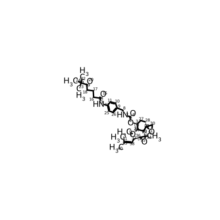 CO[C@H]1[C@@H](OC(=O)NCc2ccc(NC(=O)CCCC(=O)C(C)(C)C)cc2)CC[C@@]2(CO2)[C@@H]1C1(C)O[C@H]1CC=C(C)C